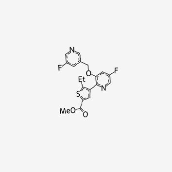 CCc1sc(C(=O)OC)cc1-c1ncc(F)cc1OCc1cncc(F)c1